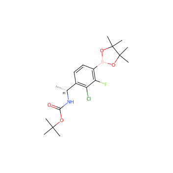 C[C@@H](NC(=O)OC(C)(C)C)c1ccc(B2OC(C)(C)C(C)(C)O2)c(F)c1Cl